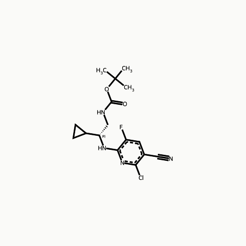 CC(C)(C)OC(=O)NC[C@H](Nc1nc(Cl)c(C#N)cc1F)C1CC1